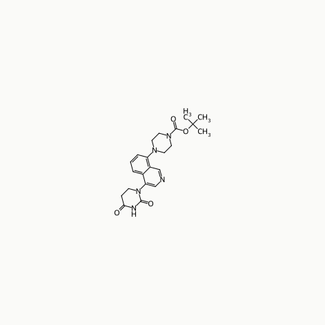 CC(C)(C)OC(=O)N1CCN(c2cccc3c(N4CCC(=O)NC4=O)cncc23)CC1